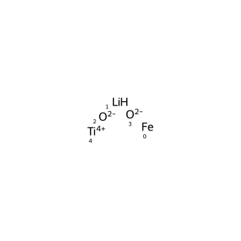 [Fe].[LiH].[O-2].[O-2].[Ti+4]